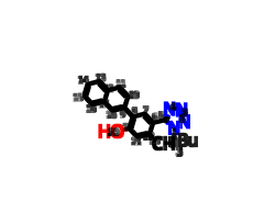 CCCCn1nnnc1-c1cc(-c2ccc3ccccc3c2)c(O)cc1C